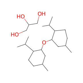 CC1CCC(C(C)C)C(OC2CC(C)CCC2C(C)C)C1.OCC(O)CO